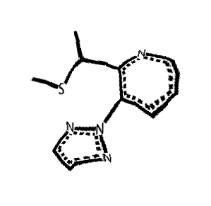 CSC(C)c1ncccc1-n1nccn1